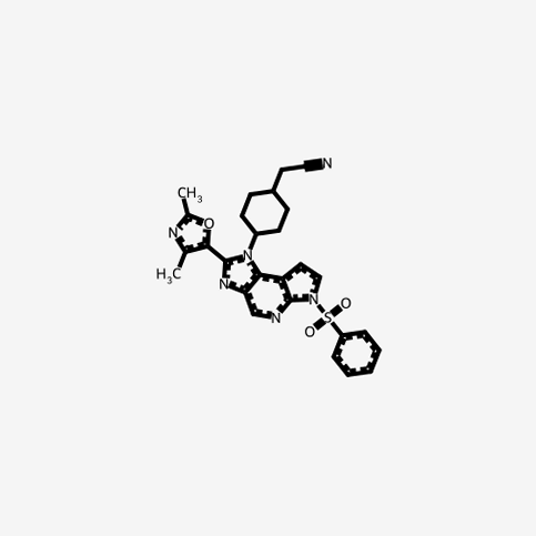 Cc1nc(C)c(-c2nc3cnc4c(ccn4S(=O)(=O)c4ccccc4)c3n2C2CCC(CC#N)CC2)o1